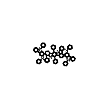 C1=CC2c3c(c(-c4ccccc4)c4c5cccc6c7c(N(c8ccccc8)c8ccc9c(c8)c8ccccc8n9-c8ccccc8)cccc7n(c4c3-c3ccccc3)c65)N3c4cccc(N(c5ccccc5)c5ccc6c(c5)c5ccccc5n6-c5ccccc5)c4C(=C1)C23